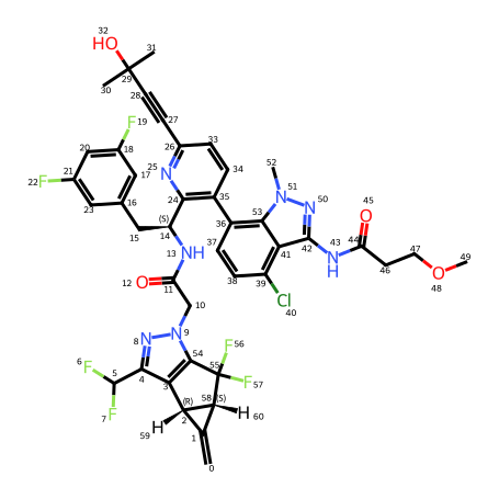 C=C1[C@@H]2c3c(C(F)F)nn(CC(=O)N[C@@H](Cc4cc(F)cc(F)c4)c4nc(C#CC(C)(C)O)ccc4-c4ccc(Cl)c5c(NC(=O)CCOC)nn(C)c45)c3C(F)(F)[C@H]12